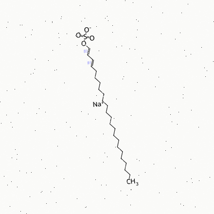 CCCCCCCCCCCCCCCCCCCC/C=C/C=C/OS(=O)(=O)[O-].[Na+]